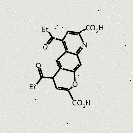 CCC(=O)c1cc(C(=O)O)nc2cc3c(cc12)C(C(=O)CC)C=C(C(=O)O)O3